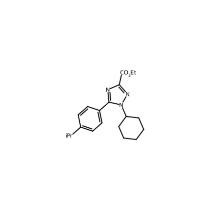 CCOC(=O)c1nc(-c2ccc(C(C)C)cc2)n(C2CCCCC2)n1